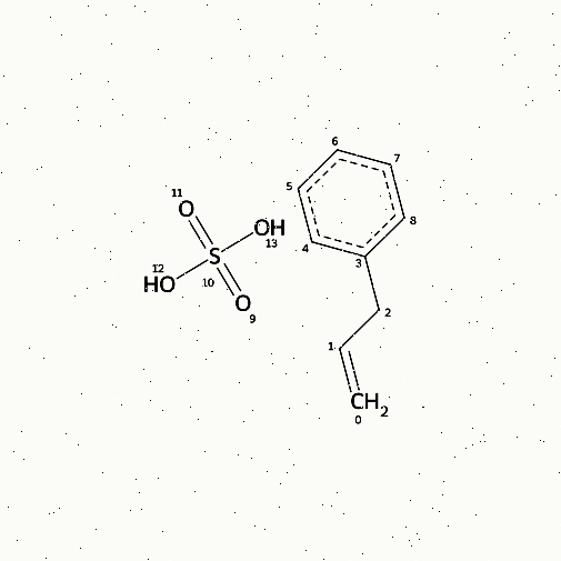 C=CCc1ccccc1.O=S(=O)(O)O